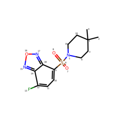 CC1(C)CCN(S(=O)(=O)c2ccc(F)c3nonc23)CC1